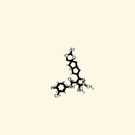 CCC1OCC2(CC3CC(c4nn(C)c(N)c4C(=O)Nc4ccc(F)c(Cl)c4)CC3C2)O1